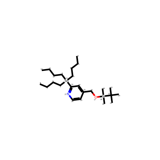 CCC[CH2][Sn]([CH2]CCC)([CH2]CCC)[c]1cc(CO[Si](C)(C)C(C)(C)C)ccn1